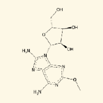 COc1nc(N)c2nc(N)n([C@@H]3O[C@H](CO)[C@@H](O)[C@H]3O)c2n1